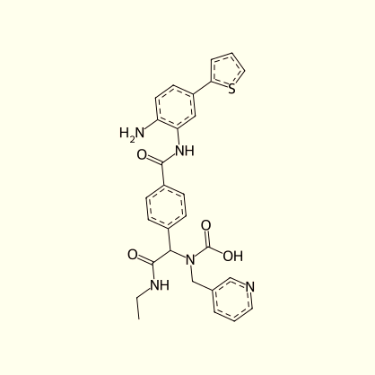 CCNC(=O)C(c1ccc(C(=O)Nc2cc(-c3cccs3)ccc2N)cc1)N(Cc1cccnc1)C(=O)O